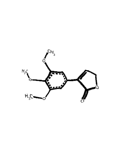 COc1cc(C2=CCOC2=O)cc(OC)c1OC